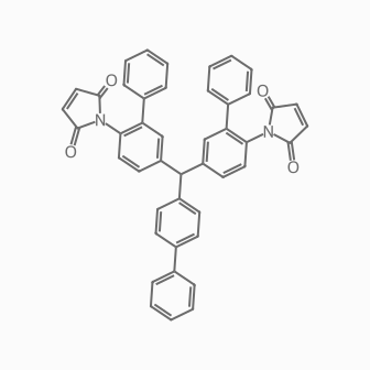 O=C1C=CC(=O)N1c1ccc(C(c2ccc(-c3ccccc3)cc2)c2ccc(N3C(=O)C=CC3=O)c(-c3ccccc3)c2)cc1-c1ccccc1